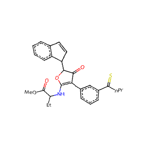 CCCC(=S)c1cccc(C2=C(NC(CC)C(=O)OC)OC(C3C=Cc4ccccc43)C2=O)c1